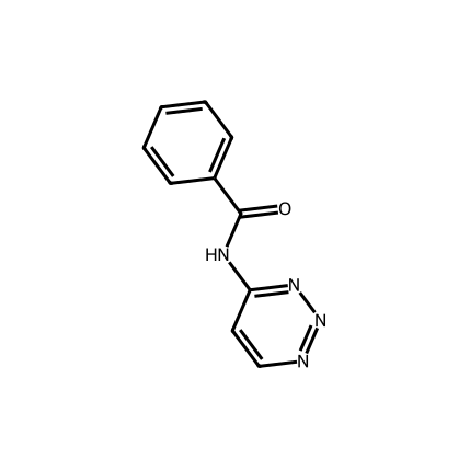 O=C(Nc1ccnnn1)c1ccccc1